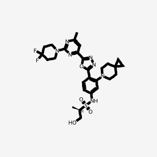 Cc1cc(-c2nnc(-c3ccc(NS(=O)(=O)[C@H](C)CO)cc3N3CCC4(CC3)CC4)o2)nc(N2CCC(F)(F)CC2)n1